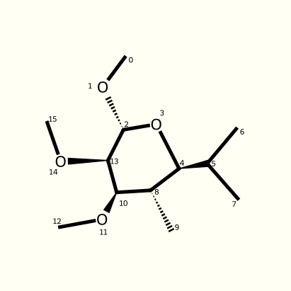 CO[C@@H]1O[C@@H](C(C)C)[C@H](C)[C@@H](OC)[C@H]1OC